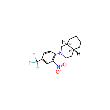 O=[N+]([O-])c1cc(C(F)(F)F)ccc1N1CC[C@H]2CCCC[C@@H]2C1